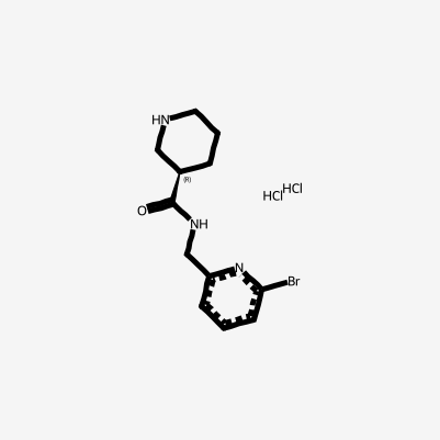 Cl.Cl.O=C(NCc1cccc(Br)n1)[C@@H]1CCCNC1